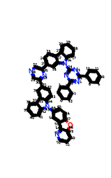 c1ccc(-c2nc(-c3ccccc3)nc(-n3c4ccccc4c4ccc(-c5cncc(-c6ccc7c(c6)c6ccccc6n7-c6ccc7oc8cccnc8c7c6)n5)cc43)n2)cc1